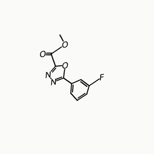 COC(=O)c1nnc(-c2cccc(F)c2)o1